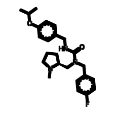 CC(C)Oc1ccc(CNC(=O)N(Cc2ccc(F)cc2)C[C@@H]2CCCN2C)cc1